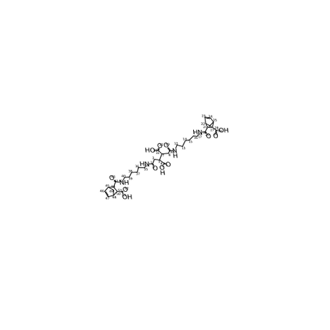 O=C(CC(C(=O)O)C(CC(=O)NCCCCCCNC(=O)C1C2C=CC(C2)C1C(=O)O)C(=O)O)NCCCCCCNC(=O)C1C2C=CC(C2)C1C(=O)O